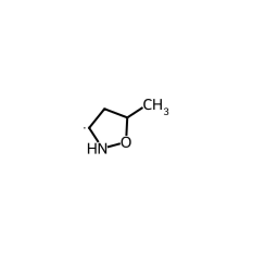 CC1C[CH]NO1